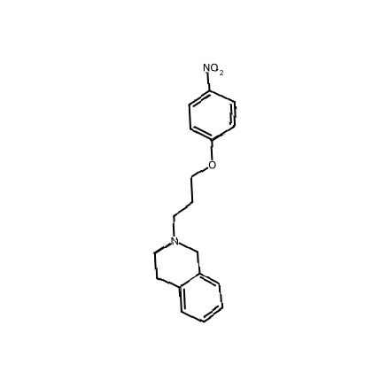 O=[N+]([O-])c1ccc(OCCCN2CCc3ccccc3C2)cc1